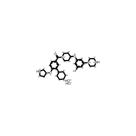 Cl.Cl.O=C(c1ccc(O[C@H]2CCNC2)c(C2CCCCC2)c1)N1CCC(Oc2cc(F)cc(N3CCNCC3)c2)CC1